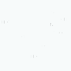 CCCC(=O)c1ccc2c(c1)C(=C(OCC)c1ccccc1)C(=O)N2C(C)=O